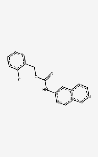 O=C(Nc1ccc2cnccc2c1)OCc1ccccc1Cl